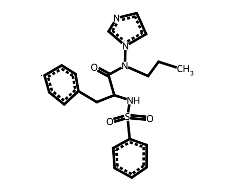 CCCN(C(=O)C(Cc1cc[c]cc1)NS(=O)(=O)c1ccccc1)n1ccnc1